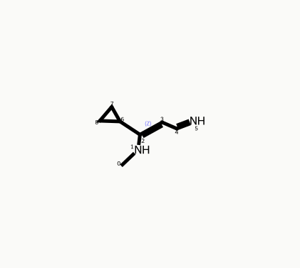 CN/C(=C\C=N)C1CC1